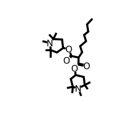 CCCCCCCC(C(=O)OC1CC(C)(C)N(C)C(C)(C)C1)C(=O)OC1CC(C)(C)N(C)C(C)(C)C1